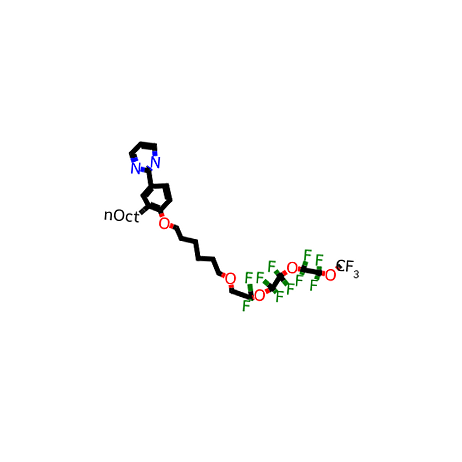 CCCCCCCCc1cc(-c2ncccn2)ccc1OCCCCCCOCC(F)(F)OC(F)(F)C(F)(F)OC(F)(F)C(F)(F)OC(F)(F)F